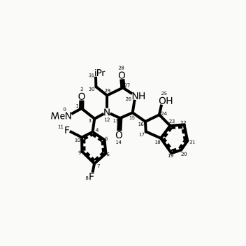 CNC(=O)C(c1ccc(F)cc1F)N1C(=O)C(C2Cc3ccccc3C2O)NC(=O)C1CC(C)C